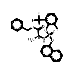 C[C@H](NP(=O)(Oc1c(I)cccc1C(F)(F)F)Oc1cccc2ccccc12)C(=O)OCc1ccccc1